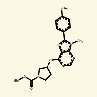 CC(=O)Nc1ccc(-c2nc3c(O[C@H]4CCN(C(=O)OC(C)(C)C)C4)ncnc3n2C)cc1